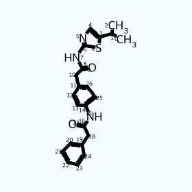 CC(C)c1cnc(NC(=O)Cc2ccc(NC(=O)Cc3ccccc3)cc2)s1